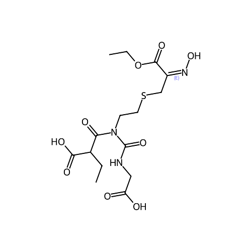 CCOC(=O)/C(CSCCN(C(=O)NCC(=O)O)C(=O)C(CC)C(=O)O)=N\O